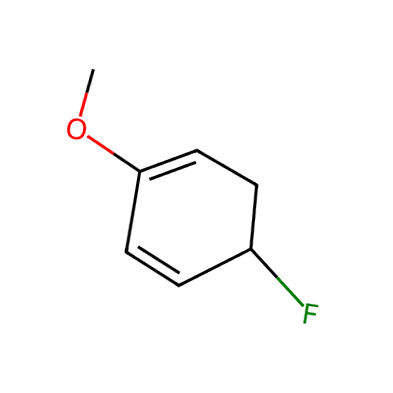 COC1=CCC(F)C=C1